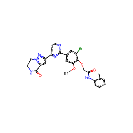 CCOc1cc(-c2nccc(-c3cc4n(n3)CCNC4=O)n2)cc(Br)c1OCC(=O)Nc1ccccc1C